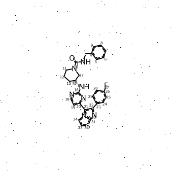 O=C(NCc1ccccc1)N1CCC[C@@H](Nc2nccc(-c3c(-c4ccc(F)cc4)nc4sccn34)n2)C1